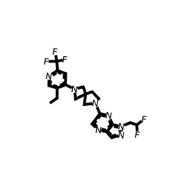 CCc1cnc(C(F)(F)F)cc1N1CC2(CCN(c3cnc4cnn(CC(F)F)c4n3)C2)C1